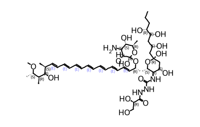 CCC[C@@H](O)[C@H](O)C[C@H](O)C[C@]1(O)C[C@H](O)[C@@H](NC(=O)NNC(=O)[C@H](O)CO)[C@H](C[C@H](/C=C/C=C/C=C/C=C/C=C/C=C/C=C/[C@H](C)[C@@H](O)[C@@H](C)[C@H](C)OC)O[C@]2(O)O[C@H](C)[C@@H](O)[C@H](N)[C@@H]2O)O1